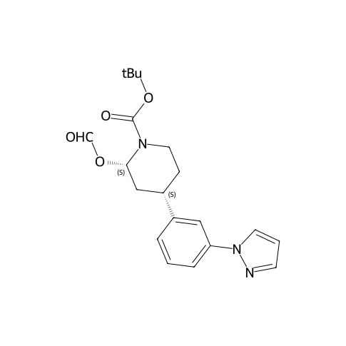 CC(C)(C)OC(=O)N1CC[C@H](c2cccc(-n3cccn3)c2)C[C@@H]1OC=O